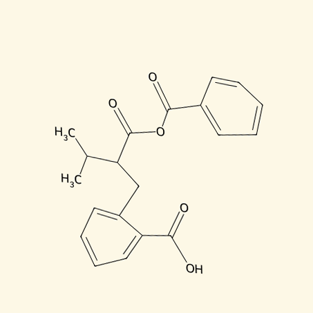 CC(C)C(Cc1ccccc1C(=O)O)C(=O)OC(=O)c1ccccc1